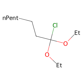 CCCCCCCC(Cl)(OCC)OCC